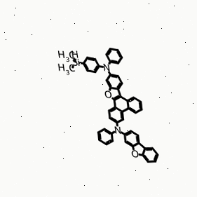 C[SiH](C)c1ccc(N(c2ccccc2)c2ccc3c(c2)oc2c4ccc(N(c5ccccc5)c5ccc6c(c5)oc5ccccc56)cc4c4ccccc4c32)cc1